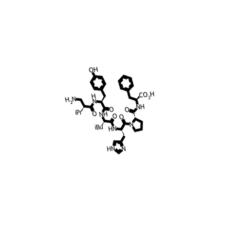 CCC(C)[C@H](NC(=O)[C@H](Cc1ccc(O)cc1)NC(=O)[C@@H](CN)C(C)C)C(=O)N[C@@H](Cc1c[nH]cn1)C(=O)N1CCC[C@H]1C(=O)N[C@@H](Cc1ccccc1)C(=O)O